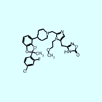 COCCn1c(Cc2noc(=O)[nH]2)cnc1CN1CCC(c2cccc3c2OC(C)(c2ccc(Cl)cc2F)O3)CC1